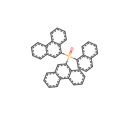 O=P(c1cccc2ccccc12)(c1cc2ccccc2c2ccccc12)c1cc2ccccc2c2ccccc12